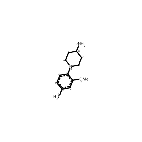 COc1cc(C)ccc1N1CCC(N)CC1